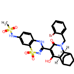 CS(=O)(=O)Nc1ccc2c(c1)S(=O)(=O)N=C(C1=C(O)[C@@H]3C4CCC(CC4)[C@@H]3N(Cc3ccccc3Br)C1=O)N2